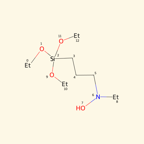 CCO[Si](CCCN(O)CC)(OCC)OCC